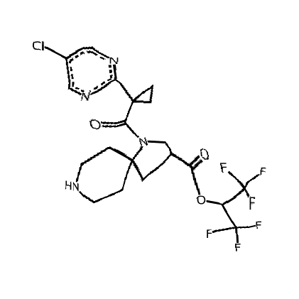 O=C(OC(C(F)(F)F)C(F)(F)F)C1CN(C(=O)C2(c3ncc(Cl)cn3)CC2)C2(CCNCC2)C1